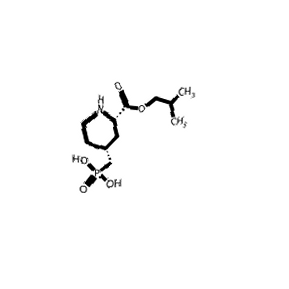 CC(C)COC(=O)[C@@H]1C[C@H](CP(=O)(O)O)CCN1